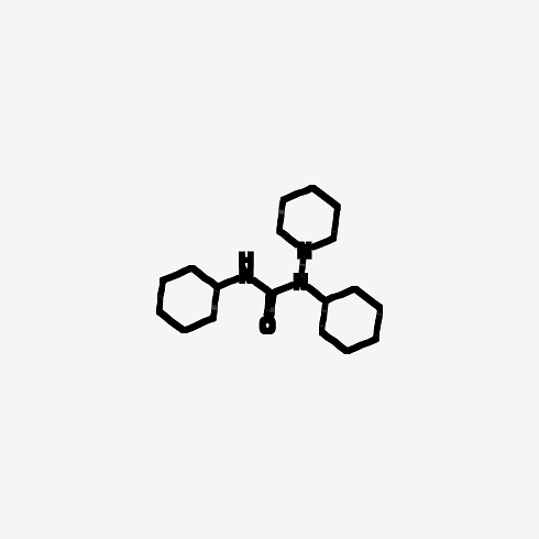 O=C(NC1CCCCC1)N(C1CCCCC1)N1CCCCC1